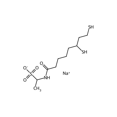 CC(NC(=O)CCCCC(S)CCS)S(=O)(=O)[O-].[Na+]